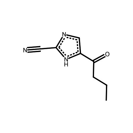 CCCC(=O)c1cnc(C#N)[nH]1